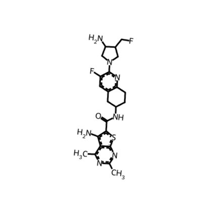 Cc1nc(C)c2c(N)c(C(=O)NC3CCc4nc(N5CC(N)C(CF)C5)c(F)cc4C3)sc2n1